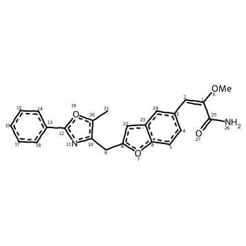 CO/C(=C/c1ccc2oc(Cc3nc(-c4ccccc4)oc3C)cc2c1)C(N)=O